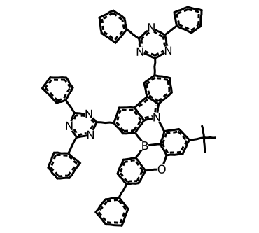 CC(C)(C)c1cc2c3c(c1)-n1c4ccc(-c5nc(-c6ccccc6)nc(-c6ccccc6)n5)cc4c4cc(-c5nc(-c6ccccc6)nc(-c6ccccc6)n5)cc(c41)B3c1ccc(-c3ccccc3)cc1O2